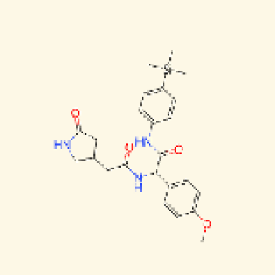 COc1ccc(C(NC(=O)CC2CNC(=O)C2)C(=O)Nc2ccc([Si](C)(C)C)cc2)cc1